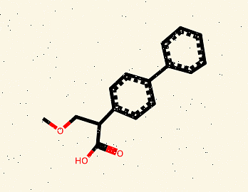 COCC(C(=O)O)c1ccc(-c2ccccc2)cc1